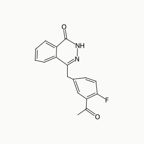 CC(=O)c1cc(Cc2n[nH]c(=O)c3ccccc23)ccc1F